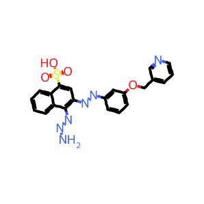 NN=Nc1c(/N=N/c2cccc(OCc3cccnc3)c2)cc(S(=O)(=O)O)c2ccccc12